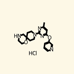 Cc1cc(Oc2cccnc2)nc(N2CCC3(CC2)CNCCO3)n1.Cl